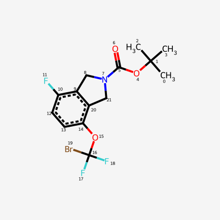 CC(C)(C)OC(=O)N1Cc2c(F)ccc(OC(F)(F)Br)c2C1